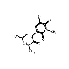 COC(=O)[C@H](CC(C)C)n1cc(Br)c(=O)n(C)c1=O